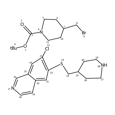 CC(C)(C)OC(=O)N1CCC(CBr)CC1.Clc1cc2cnccc2cc1SCC1CCNCC1